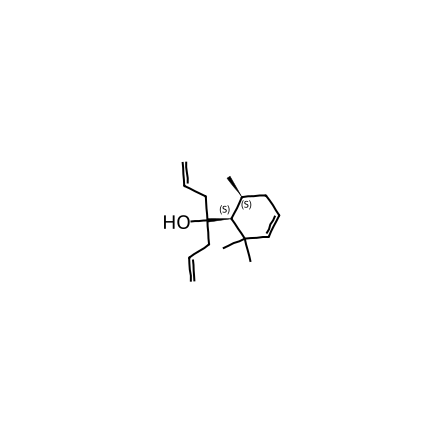 C=CCC(O)(CC=C)[C@H]1[C@@H](C)CC=CC1(C)C